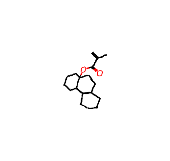 C=C(C)C(=O)OC12CCCCC1C1CCCCC1CC2